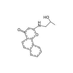 CC(O)CNc1cc(=O)c2ccc3ccccc3c2o1